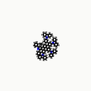 N#Cc1c(-c2ccc(-n3c4ccccc4c4ccccc43)cc2)c(-c2ccc(-n3c4ccccc4c4ccccc43)cc2)c(-c2ccc(-n3c4ccccc4c4ccccc43)cc2)c(-c2ccc(-n3c4ccccc4c4ccccc43)cc2)c1-c1cc(-c2ccccc2)nc(-c2ccccc2)c1